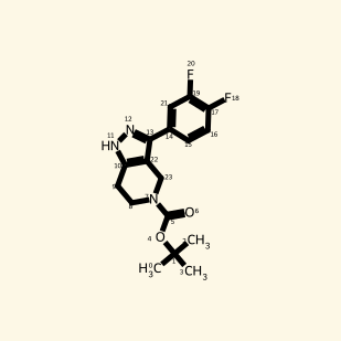 CC(C)(C)OC(=O)N1CCc2[nH]nc(-c3ccc(F)c(F)c3)c2C1